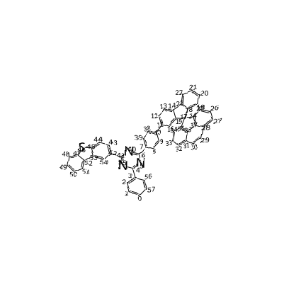 c1ccc(-c2nc(-c3ccc(-c4ccc5c(c4)C4(c6ccccc6-5)c5cccc6ccc7cccc4c7c56)cc3)nc(-c3ccc4sc5ccccc5c4c3)n2)cc1